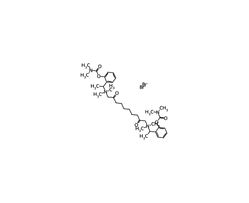 CC(c1ccccc1OC(=O)N(C)C)[N+](C)(C)CC(=O)CCCCCCC(=O)C[N+](C)(C)C(C)c1ccccc1OC(=O)N(C)C.[Br-].[Br-]